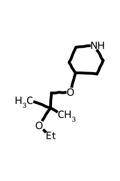 CCOC(C)(C)COC1CCNCC1